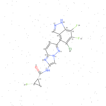 O=C(Nc1cn2nc(-c3c(Cl)c(F)c(F)c4[nH]ncc34)ccc2n1)[C@@H]1C[C@@H]1F